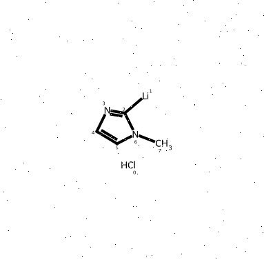 Cl.[Li][c]1nccn1C